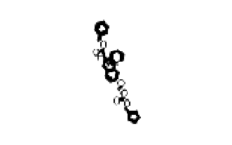 O=C(OCOc1ccc2c(c1)[C@@]13CCCC[C@H]1[C@@H](C2)N(C(=O)OCc1ccccc1)CC3)OCC1CCCC1